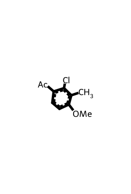 COc1ccc(C(C)=O)c(Cl)c1C